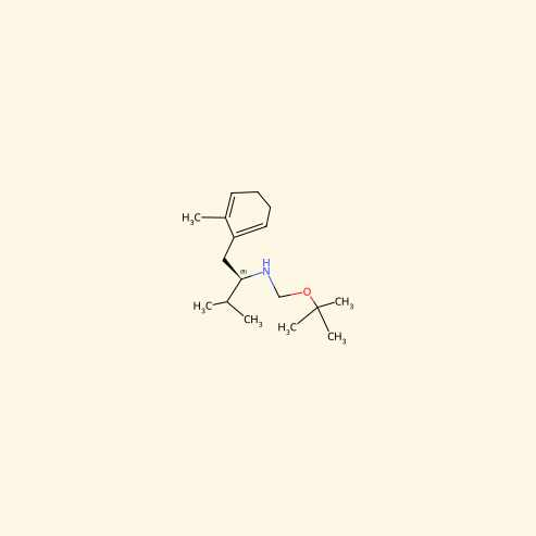 CC1=CCCC=C1C[C@@H](NCOC(C)(C)C)C(C)C